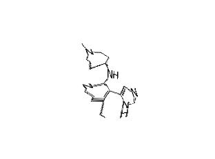 Cc1ccnc(NC2CCN(C)CC2)c1-c1cnc[nH]1